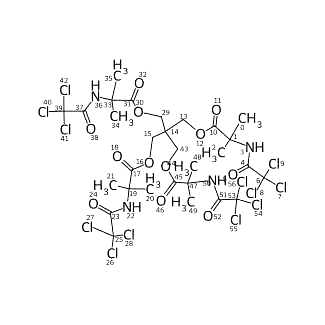 CC(C)(NC(=O)C(Cl)(Cl)Cl)C(=O)OCC(COC(=O)C(C)(C)NC(=O)C(Cl)(Cl)Cl)(COC(=O)C(C)(C)NC(=O)C(Cl)(Cl)Cl)COC(=O)C(C)(C)NC(=O)C(Cl)(Cl)Cl